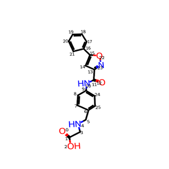 O=C(O)CNCc1ccc(NC(=O)c2cc(-c3ccccc3)on2)cc1